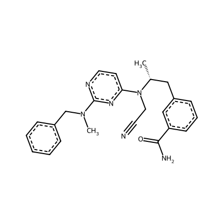 C[C@H](Cc1cccc(C(N)=O)c1)N(CC#N)c1ccnc(N(C)Cc2ccccc2)n1